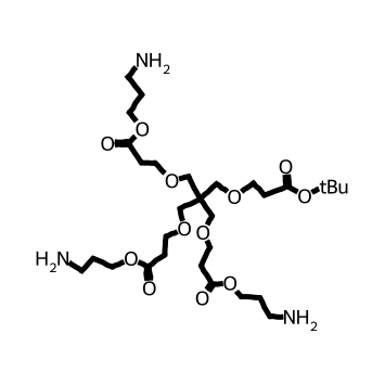 CC(C)(C)OC(=O)CCOCC(COCCC(=O)OCCCN)(COCCC(=O)OCCCN)COCCC(=O)OCCCN